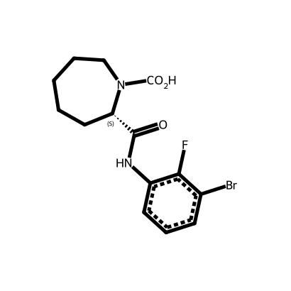 O=C(Nc1cccc(Br)c1F)[C@@H]1CCCCCN1C(=O)O